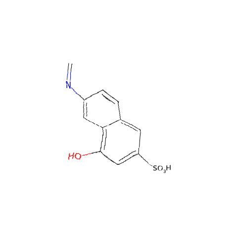 C=Nc1ccc2cc(S(=O)(=O)O)cc(O)c2c1